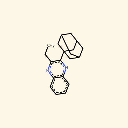 CCc1nc2ccccc2nc1C12CC3CC(CC(C3)C1)C2